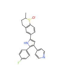 CC1CCc2cc(-c3cc(-c4ccncc4)c(-c4ccc(F)cc4)[nH]3)ccc2[S+]1[O-]